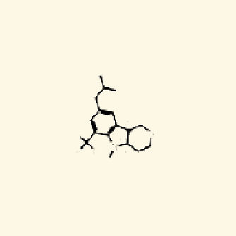 CC(C)Cc1cc2c(c(C(F)(F)F)c1)N(C)[C@@H]1CCNC[C@H]21